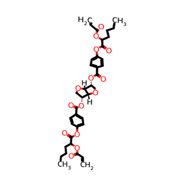 C=CC(=O)OC(CCCC)C(=O)Oc1ccc(C(=O)O[C@@H]2CO[C@H]3[C@@H]2OC[C@H]3OC(=O)c2ccc(OC(=O)C(CCCC)OC(=O)C=C)cc2)cc1